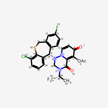 CC(=O)Oc1c2n(ccc1=O)N([C@H]1c3ccc(F)cc3CSc3c(Cl)cccc31)CN([C@H](C)C(F)(F)F)C2=O